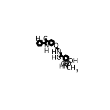 CNS(=O)(=O)c1cc(C(O)CNCCOc2ccc3c(C)c(-c4ccccc4)[nH]c3c2)ccc1O